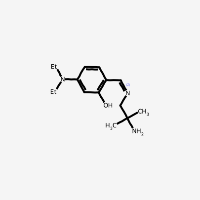 CCN(CC)c1ccc(/C=N\CC(C)(C)N)c(O)c1